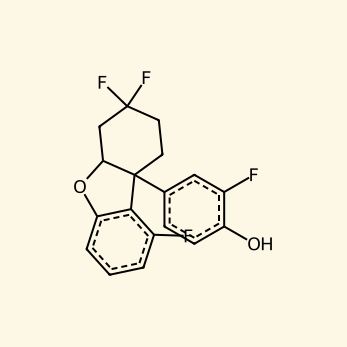 Oc1ccc(C23CCC(F)(F)CC2Oc2cccc(F)c23)cc1F